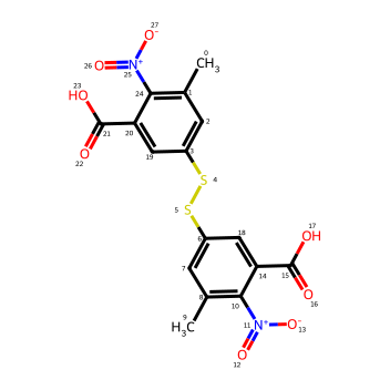 Cc1cc(SSc2cc(C)c([N+](=O)[O-])c(C(=O)O)c2)cc(C(=O)O)c1[N+](=O)[O-]